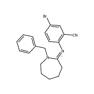 N#Cc1cc(Br)ccc1/N=C1/CCCCCN1Cc1ccccc1